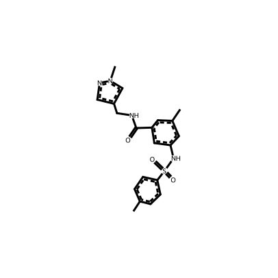 Cc1ccc(S(=O)(=O)Nc2cc(C)cc(C(=O)NCc3cnn(C)c3)c2)cc1